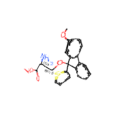 COc1ccc2c(c1)C(O[C@H](C)[C@H](N)C(=O)O)(c1cccs1)c1ccccc1-2